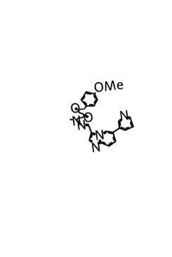 COc1ccc(S(=O)(=O)N(C)N=Cc2cnc3ccc(-c4cccnc4)cn23)cc1